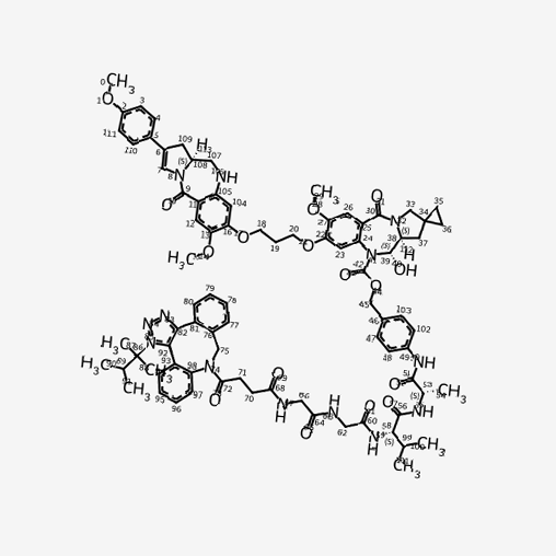 COc1ccc(C2=CN3C(=O)c4cc(OC)c(OCCCOc5cc6c(cc5OC)C(=O)N5CC7(CC7)C[C@H]5[C@H](O)N6C(=O)OCc5ccc(NC(=O)[C@H](C)NC(=O)[C@@H](NC(=O)CNC(=O)CNC(=O)CCC(=O)N6Cc7ccccc7-c7nnn(C(C)(C)C(C)C)c7-c7ccccc76)C(C)C)cc5)cc4NC[C@@H]3C2)cc1